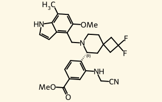 COC(=O)c1ccc([C@H]2CC3(CCN2Cc2c(OC)cc(C)c4[nH]ccc24)CC(F)(F)C3)c(NCC#N)c1